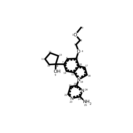 COCCOc1cc(C2(O)CCCC2)cc2c1ccn2-c1ccnc(N)n1